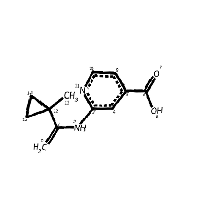 C=C(Nc1cc(C(=O)O)ccn1)C1(C)CC1